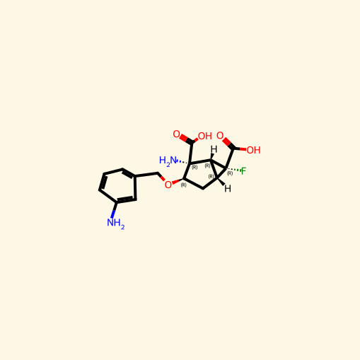 Nc1cccc(CO[C@@H]2C[C@@H]3[C@H]([C@]2(N)C(=O)O)[C@@]3(F)C(=O)O)c1